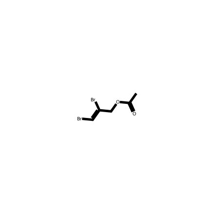 CC(=O)OCC(Br)=CBr